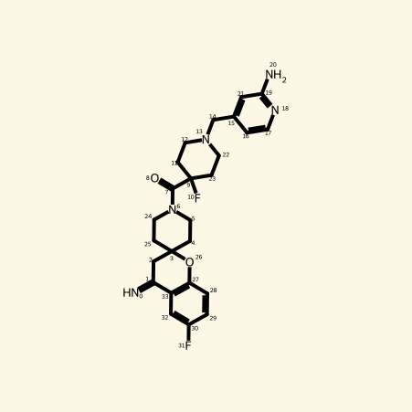 N=C1CC2(CCN(C(=O)C3(F)CCN(Cc4ccnc(N)c4)CC3)CC2)Oc2ccc(F)cc21